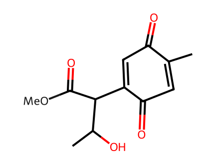 COC(=O)C(C1=CC(=O)C(C)=CC1=O)C(C)O